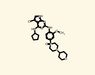 COc1cc(P2(=O)CCN(C3CCOCC3)CC2)ccc1Nc1nc(NC2CCCC2)c2c(Cl)c[nH]c2n1